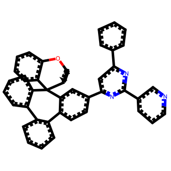 c1ccc(-c2cc(-c3ccc4c(c3)C3(c5ccccc5Oc5ccccc53)c3ccccc3-c3ccccc3-4)nc(-c3cccnc3)n2)cc1